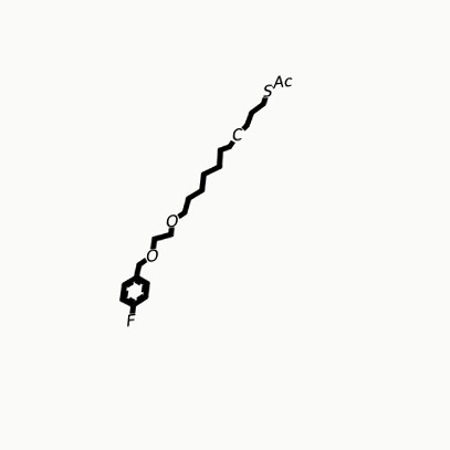 CC(=O)SCCCCCCCCCCCOCCOCc1ccc(F)cc1